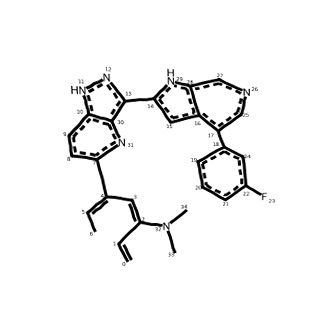 C=C/C(=C\C(=C/C)c1ccc2[nH]nc(-c3cc4c(-c5cccc(F)c5)cncc4[nH]3)c2n1)N(C)C